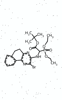 CCOP(=O)(OCC)C(Nc1nc2c(nc1Br)-c1ccccc1CC2)C(=O)OC(C)(C)C